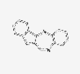 c1ccc2c3nc4ccccc4ncc-3cc2c1